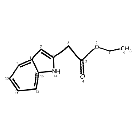 CCOC(=O)Cc1cc2cc[c]cc2[nH]1